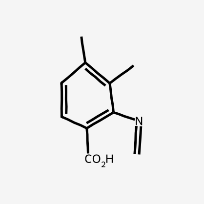 C=Nc1c(C(=O)O)ccc(C)c1C